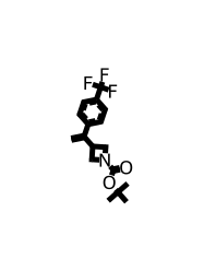 C=C(c1ccc(C(F)(F)F)cc1)C1CN(C(=O)OC(C)(C)C)C1